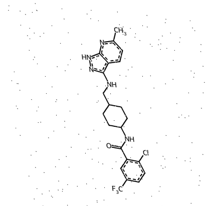 Cc1ccc2c(NCC3CCC(NC(=O)c4cc(C(F)(F)F)ccc4Cl)CC3)n[nH]c2n1